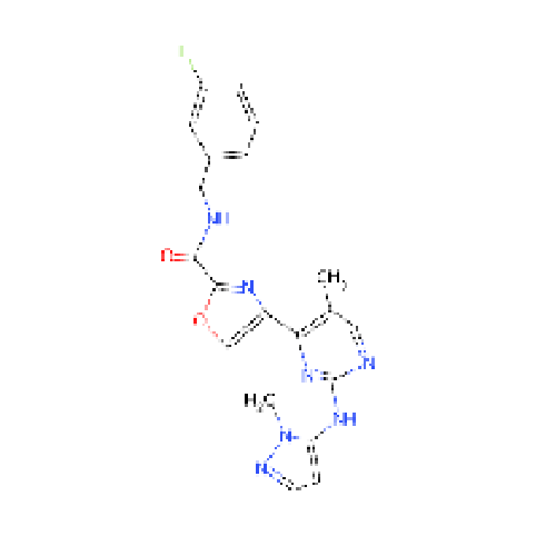 Cc1cnc(Nc2ccnn2C)nc1-c1coc(C(=O)NCc2cccc(F)c2)n1